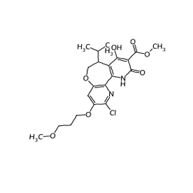 COCCCOc1cc2c(nc1Cl)-c1[nH]c(=O)c(C(=O)OC)c(O)c1C(C(C)C)CO2